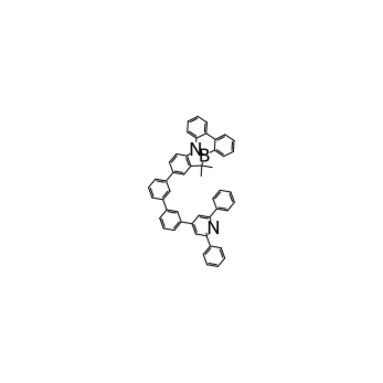 CC1(C)B2c3ccccc3-c3ccccc3N2c2ccc(-c3cccc(-c4cccc(-c5cc(-c6ccccc6)nc(-c6ccccc6)c5)c4)c3)cc21